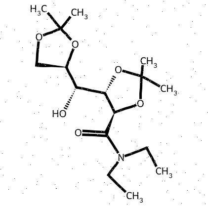 CCN(CC)C(=O)[C@@H]1OC(C)(C)O[C@H]1[C@H](O)[C@H]1COC(C)(C)O1